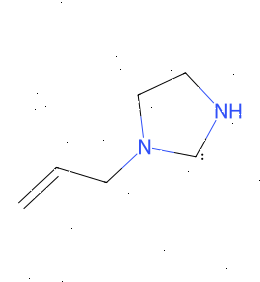 C=CCN1[C]NCC1